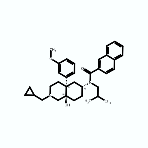 COc1cccc([C@@]23CCN(CC4CC4)C[C@@]2(O)CC[C@@H](N(CC(C)C)C(=O)c2ccc4ccccc4c2)C3)c1